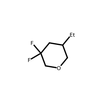 CCC1COCC(F)(F)C1